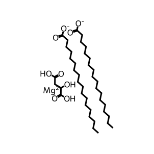 CCCCCCCCCCCCCCCCCC(=O)[O-].CCCCCCCCCCCCCCCCCC(=O)[O-].O=C(O)CC(O)C(=O)O.[Mg+2]